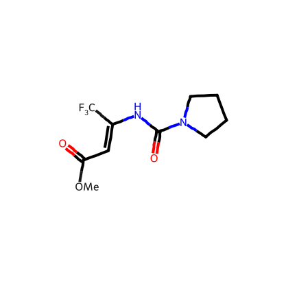 COC(=O)C=C(NC(=O)N1CCCC1)C(F)(F)F